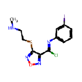 CNCCSc1nonc1/C(Cl)=N/c1cccc(I)c1